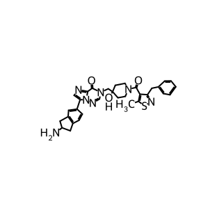 Cc1snc(Cc2ccccc2)c1C(=O)N1CCC(O)(Cn2cnn3c(-c4ccc5c(c4)CC(N)C5)cnc3c2=O)CC1